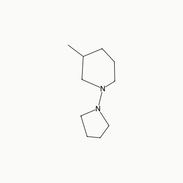 CC1CCCN(N2CCCC2)C1